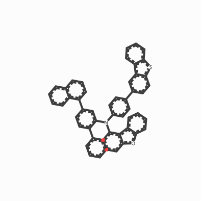 c1ccc(-c2ccc(-c3cccc4ccccc34)cc2N(c2ccc(-c3ccc4sc5ccccc5c4c3)cc2)c2cccc3oc4ccccc4c23)cc1